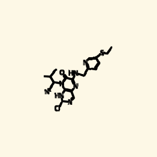 CCSc1ccc(CNc2nc3c(n(C(C#N)C(C)C)c2=O)NC(Cl)N=C3)nc1